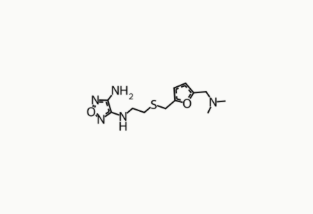 CN(C)Cc1ccc(CSCCNc2nonc2N)o1